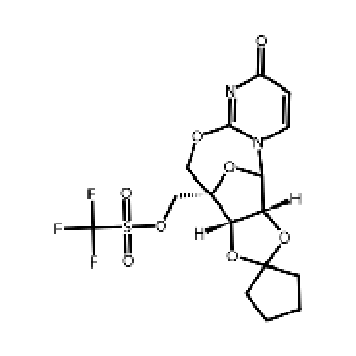 O=c1ccn2c(n1)OC[C@@]1(COS(=O)(=O)C(F)(F)F)OC2[C@@H]2OC3(CCCC3)O[C@@H]21